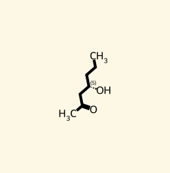 CCC[C@H](O)CC(C)=O